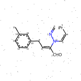 C=NN(/C=C\C(C)C)/C(C=O)=C\Cc1cccc(C)c1